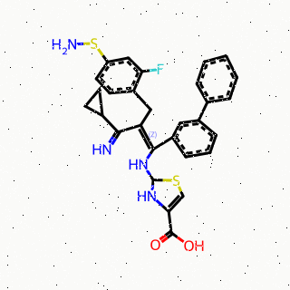 N=C(/C(Cc1ccc(SN)cc1F)=C(\NC1NC(C(=O)O)=CS1)c1cccc(-c2ccccc2)c1)C1CC1